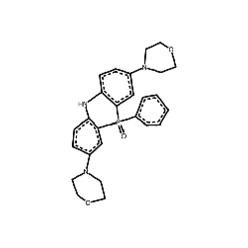 O=P1(c2ccccc2)c2cc(N3CCOCC3)ccc2Nc2ccc(N3CCOCC3)cc21